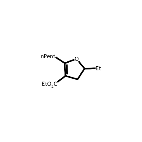 CCCCCC1=C(C(=O)OCC)CC(CC)O1